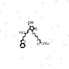 COC(=O)CSCCCS[C@H]1C(=O)C[C@@H](CO)[C@@H]1C=CC(O)CCc1cc2ccccc2s1